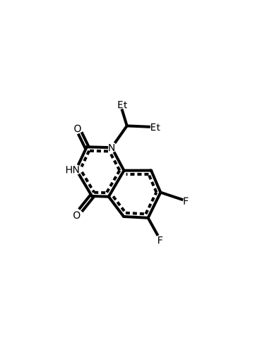 CCC(CC)n1c(=O)[nH]c(=O)c2cc(F)c(F)cc21